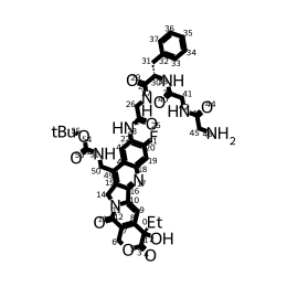 CC[C@@]1(O)C(=O)OCc2c1cc1n(c2=O)Cc2c-1nc1cc(F)c(NC(=O)CNC(=O)[C@H](Cc3ccccc3)NC(=O)CNC(=O)CN)cc1c2CNC(=O)OC(C)(C)C